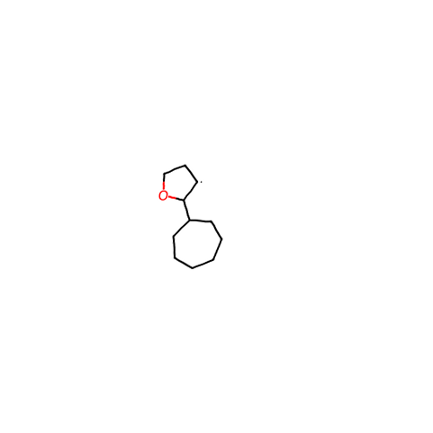 [CH]1CCOC1C1CCCCCC1